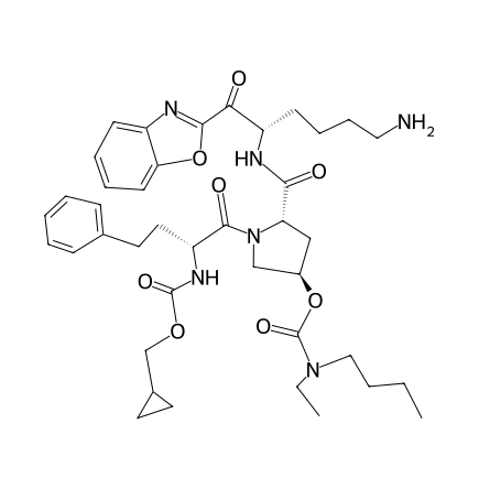 CCCCN(CC)C(=O)O[C@@H]1C[C@@H](C(=O)N[C@@H](CCCCN)C(=O)c2nc3ccccc3o2)N(C(=O)[C@@H](CCc2ccccc2)NC(=O)OCC2CC2)C1